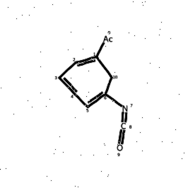 CC(=O)C1=CC=CC=C(N=C=O)C1